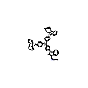 C=C/C=C\c1c(C)n(-c2ccc(N(c3ccc(-n4c5ccccc5c5ccccc54)cc3)c3ccc(-n4c5ccccc5c5ccccc54)cc3)cc2)c2ccccc12